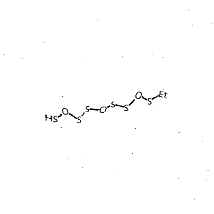 CCSOSSOSSOS